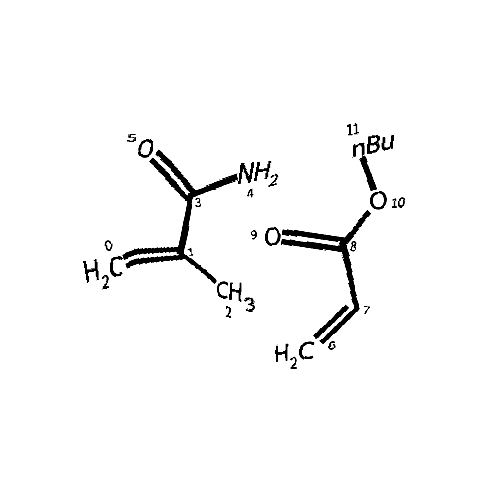 C=C(C)C(N)=O.C=CC(=O)OCCCC